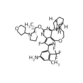 Cc1cc(N)cc(-c2nc3c4c(nc(O[C@@H](C)[C@@H]5CCCN5C5CCOCC5)nc4c2F)N2C[C@H]4CC[C@H](N4)[C@H]2CCO3)c1C(F)(F)F